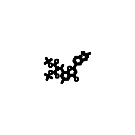 Cc1cc(C(C)N(C(=O)OC(C)(C)C)C(=O)OC(C)(C)C)c2oc(-c3ccc4nn(C)cc4c3)cc(=O)c2c1